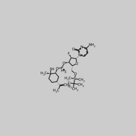 C=C(C)[C@@H]1CC[C@](C)(S)[C@@H](O[PH](=S)O[C@H]2[C@@H](F)[C@H](n3ccc(N)nc3=O)O[C@@H]2CO[Si](C)(C)C(C)(C)C)C1